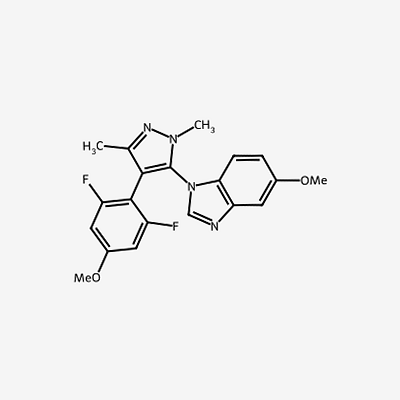 COc1cc(F)c(-c2c(C)nn(C)c2-n2cnc3cc(OC)ccc32)c(F)c1